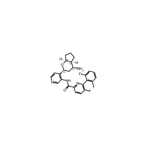 N[C@H]1C[C@@H](c2ccncc2NC(=O)c2ccc(F)c(-c3c(F)cccc3F)n2)O[C@H]2CCC[C@H]21